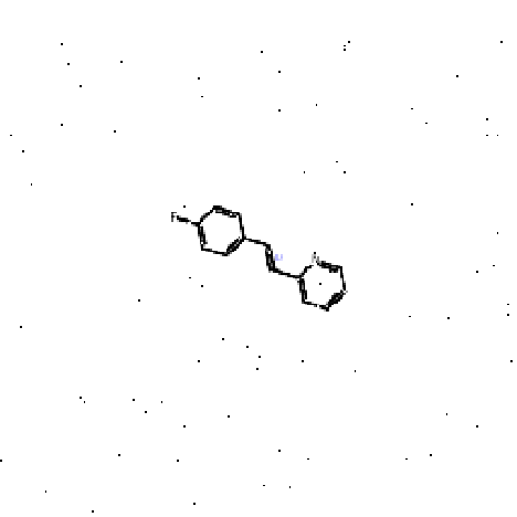 Fc1ccc(/C=C/c2ccccn2)cc1